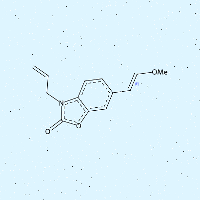 C=CCn1c(=O)oc2cc(/C=C/OC)ccc21